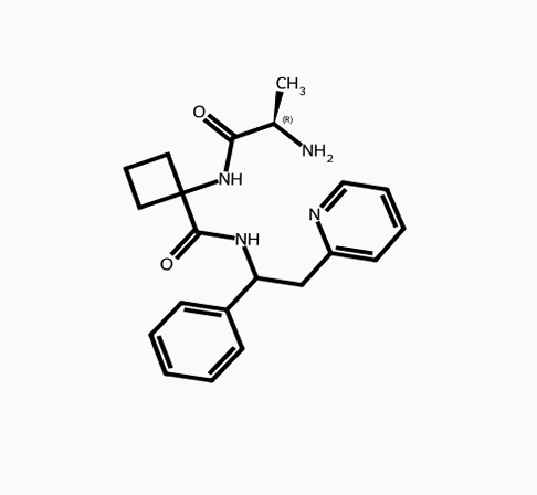 C[C@@H](N)C(=O)NC1(C(=O)NC(Cc2ccccn2)c2ccccc2)CCC1